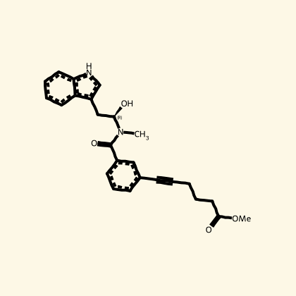 COC(=O)CCCC#Cc1cccc(C(=O)N(C)[C@H](O)Cc2c[nH]c3ccccc23)c1